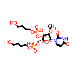 COC1[C@@H](OP(=O)(O)OCCCCO)[C@@H](COP(=O)(O)OCCCCO)O[C@H]1n1ccc(=O)[nH]c1=O